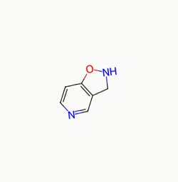 c1cc2c(cn1)CNO2